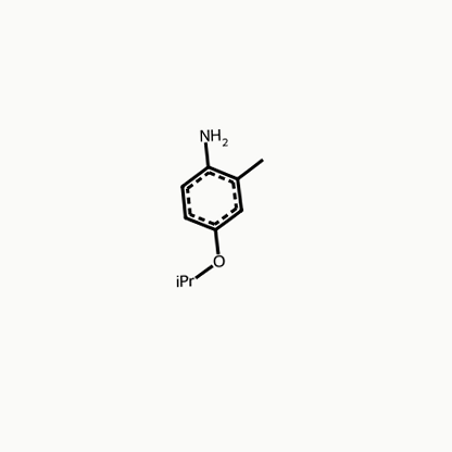 Cc1cc(OC(C)C)ccc1N